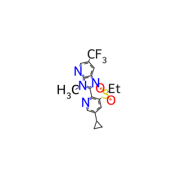 CCS(=O)(=O)c1cc(C2CC2)cnc1-c1nc2cc(C(F)(F)F)cnc2n1C